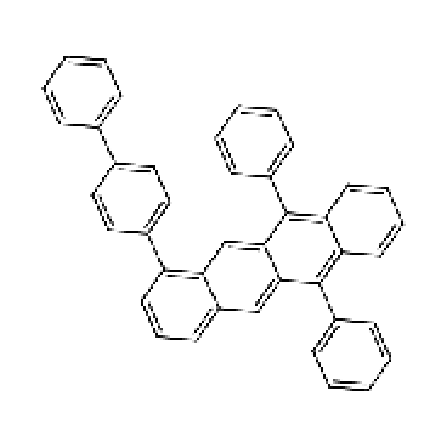 c1ccc(-c2ccc(-c3cccc4cc5c(-c6ccccc6)c6ccccc6c(-c6ccccc6)c5cc34)cc2)cc1